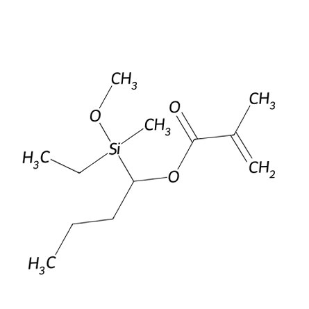 C=C(C)C(=O)OC(CCC)[Si](C)(CC)OC